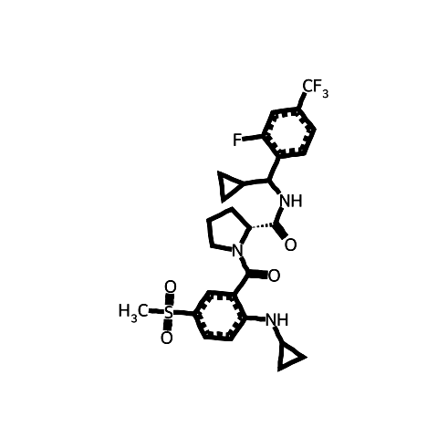 CS(=O)(=O)c1ccc(NC2CC2)c(C(=O)N2CCC[C@@H]2C(=O)NC(c2ccc(C(F)(F)F)cc2F)C2CC2)c1